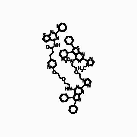 CN(CCOCCn1ccnc1-c1nc(NCCOCCOc2ccc(CCC(=O)Nc3nc(-c4ccccn4)nc4sccc34)cn2)c2c(-c3ccccc3)c(-c3ccccc3)sc2n1)c1nc(-c2nccn2C)nc2sc(-c3ccccc3)c(-c3ccccc3)c12